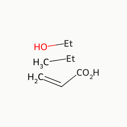 C=CC(=O)O.CCC.CCO